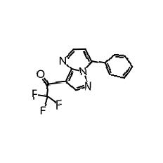 O=C(c1cnn2c(-c3ccccc3)ccnc12)C(F)(F)F